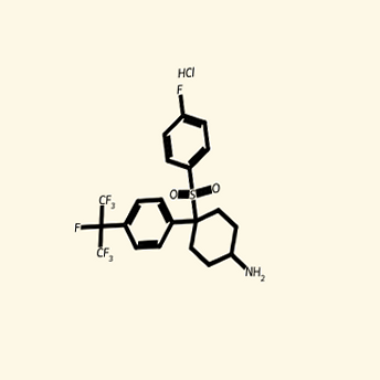 Cl.NC1CCC(c2ccc(C(F)(C(F)(F)F)C(F)(F)F)cc2)(S(=O)(=O)c2ccc(F)cc2)CC1